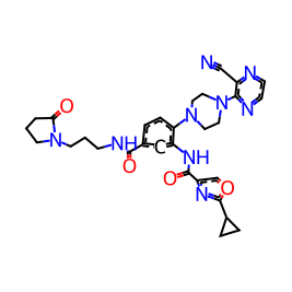 N#Cc1nccnc1N1CCN(c2ccc(C(=O)NCCCN3CCCC3=O)cc2NC(=O)c2coc(C3CC3)n2)CC1